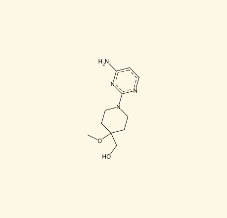 COC1(CO)CCN(c2nccc(N)n2)CC1